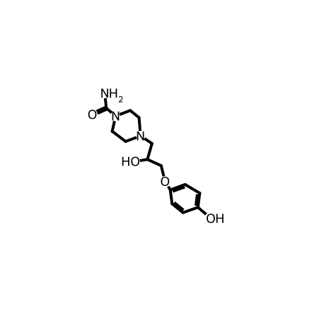 NC(=O)N1CCN(CC(O)COc2ccc(O)cc2)CC1